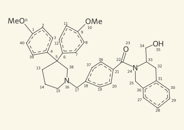 COc1ccc(C2(c3ccc(OC)cc3)CCCN(Cc3ccc(C(=O)N4Cc5ccccc5CC4CO)cc3)C2)cc1